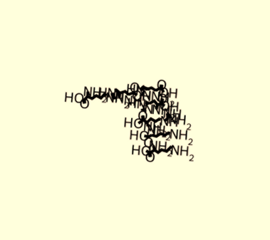 N=C(N)NCCCC(N)C(=O)O.NC(Cc1c[nH]cn1)C(=O)O.NC(Cc1c[nH]cn1)C(=O)O.NC(Cc1c[nH]cn1)C(=O)O.NCCCCC(N)C(=O)O.NCCCCC(N)C(=O)O.NCCCCC(N)C(=O)O